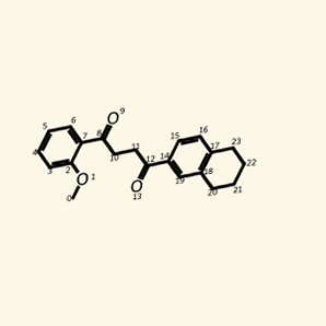 COc1ccccc1C(=O)CCC(=O)c1ccc2c(c1)CCCC2